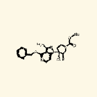 CC(C)(C)OC(=O)N1CCC(CC#N)(n2nc(N)c3c(OCc4ccccc4)nccc32)C(F)C1